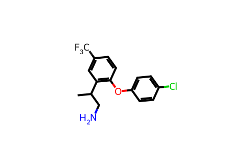 CC(CN)c1cc(C(F)(F)F)ccc1Oc1ccc(Cl)cc1